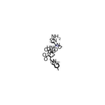 CO/N=C(\C(=O)N[C@@H]1C(=O)N2C(C(=O)[O-])=C(Cn3cc4cc(C)cc[n+]4n3)CS[C@@H]12)c1csc(N)n1